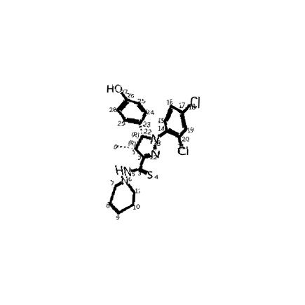 C[C@H]1C(C(=S)NN2CCCCC2)=NN(c2ccc(Cl)cc2Cl)[C@H]1c1ccc(O)cc1